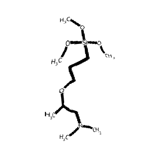 CO[Si](CCCOC(C)CN(C)C)(OC)OC